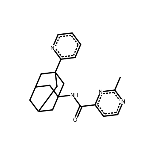 Cc1nccc(C(=O)NC23CC4CC(C2)CC(c2ccccn2)(C4)C3)n1